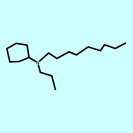 CCCCCCCCCN(CCC)C1CCCCC1